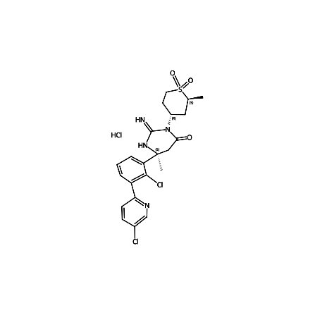 C[C@H]1C[C@H](N2C(=N)N[C@](C)(c3cccc(-c4ccc(Cl)cn4)c3Cl)CC2=O)CCS1(=O)=O.Cl